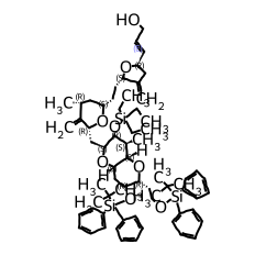 C=C1C[C@H](/C=C/CO)O[C@H]1CC[C@H]1C[C@@H](C)C(=C)[C@@H](C[C@@H]2O[C@H]3C[C@@H](O[Si](c4ccccc4)(c4ccccc4)C(C)(C)C)[C@@H](CCO[Si](c4ccccc4)(c4ccccc4)C(C)(C)C)O[C@H]3[C@H](C)[C@H]2O[Si](CC)(CC)CC)O1